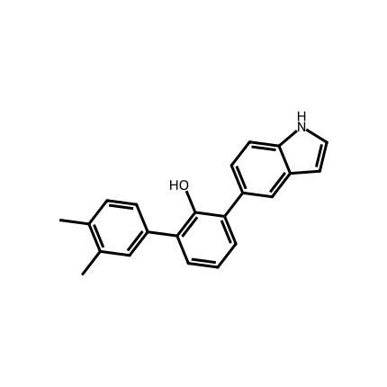 Cc1ccc(-c2cccc(-c3ccc4[nH]ccc4c3)c2O)cc1C